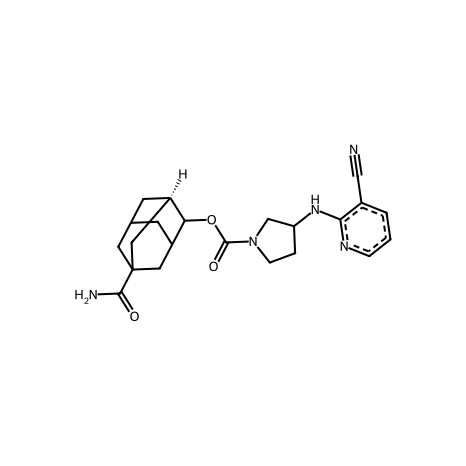 N#Cc1cccnc1NC1CCN(C(=O)OC2C3CC4C[C@@H]2CC(C(N)=O)(C4)C3)C1